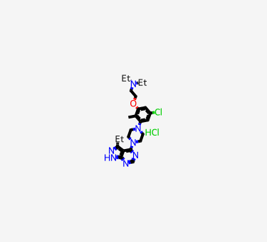 CCc1n[nH]c2ncnc(N3CCN(c4cc(Cl)cc(OCCN(CC)CC)c4C)CC3)c12.Cl